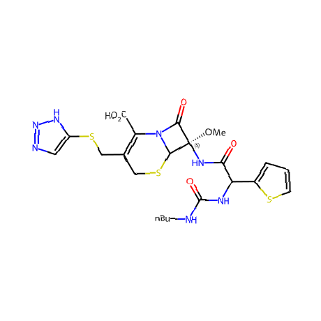 CCCCNC(=O)NC(C(=O)N[C@]1(OC)C(=O)N2C(C(=O)O)=C(CSc3cnn[nH]3)CSC21)c1cccs1